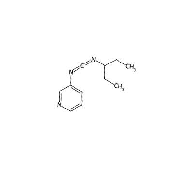 CCC(CC)N=C=Nc1cccnc1